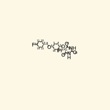 CC(C)C1(Oc2ccc(OCc3ccc(F)cc3)cc2)C(=O)NC(=O)NC1=O